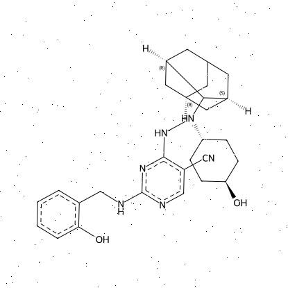 N#Cc1cnc(NCc2ccccc2O)nc1NC[C@@]12CC3C[C@H](C1)C(N[C@H]1CC[C@H](O)CC1)[C@@H](C3)C2